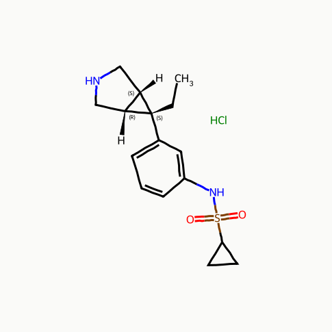 CC[C@@]1(c2cccc(NS(=O)(=O)C3CC3)c2)[C@@H]2CNC[C@@H]21.Cl